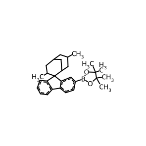 CC1CC2CC(C)C3(c4ccccc4-c4ccc(B5OC(C)(C)C(C)(C)O5)cc43)C(C1)C2